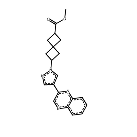 COC(=O)C1CC2(C1)CC(n1cc(-c3cnc4ccccc4n3)cn1)C2